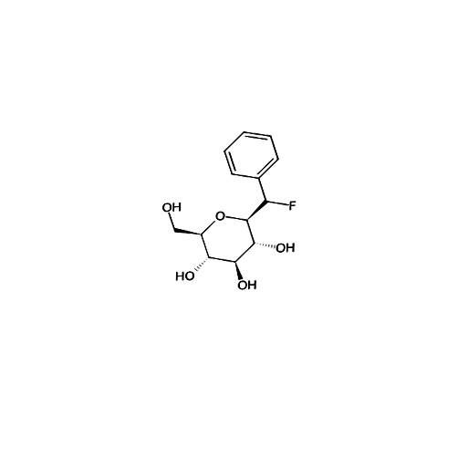 OC[C@H]1O[C@@H](C(F)c2ccccc2)[C@H](O)[C@@H](O)[C@@H]1O